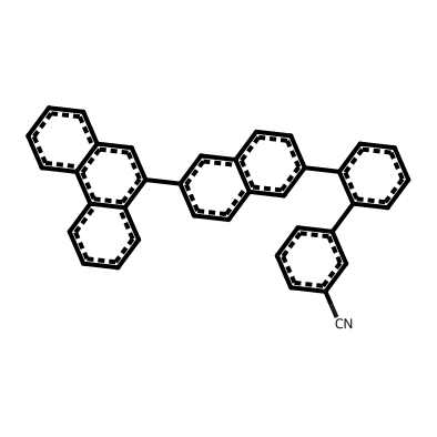 N#Cc1cccc(-c2ccccc2-c2ccc3cc(-c4cc5ccccc5c5ccccc45)ccc3c2)c1